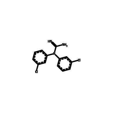 N=C(N)N(c1cccc(Cl)c1)c1cccc(Cl)c1